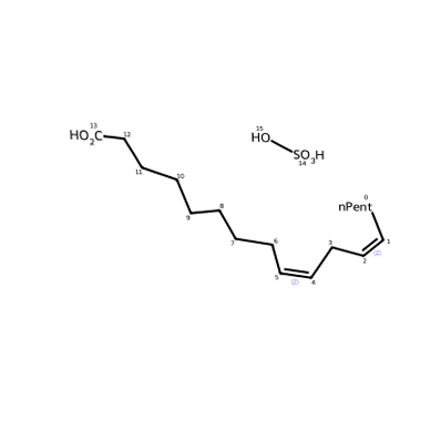 CCCCC/C=C\C/C=C\CCCCCCCC(=O)O.O=S(=O)(O)O